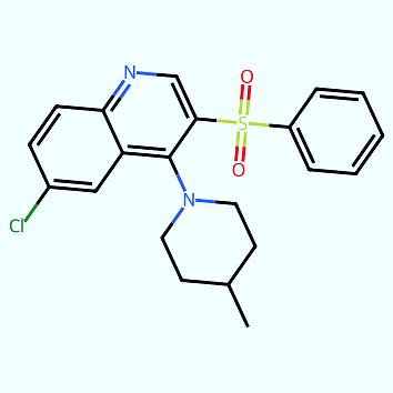 CC1CCN(c2c(S(=O)(=O)c3ccccc3)cnc3ccc(Cl)cc23)CC1